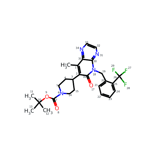 Cc1c(C2CCN(C(=O)OC(C)(C)C)CC2)c(=O)n(Cc2ccccc2C(F)(F)F)c2nccnc12